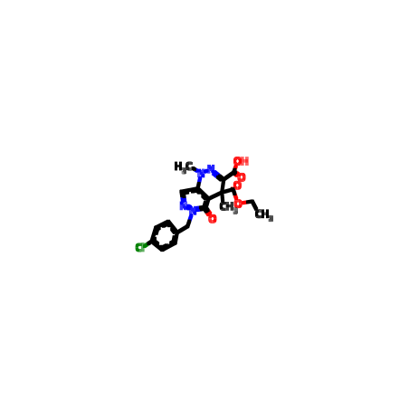 CCOC(=O)C1(C)C(C(=O)O)=NN(C)c2cnn(Cc3ccc(Cl)cc3)c(=O)c21